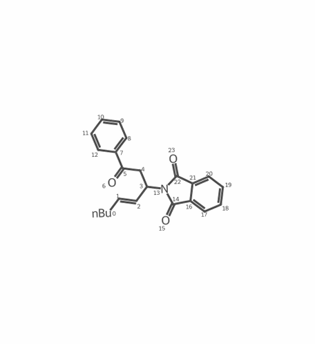 CCCC/C=C/C(CC(=O)c1ccccc1)N1C(=O)c2ccccc2C1=O